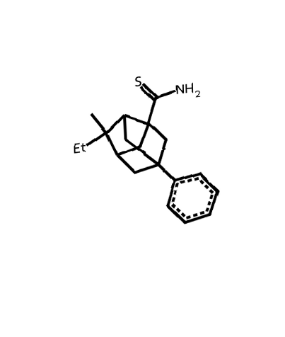 CCC1(C)C2CC3(c4ccccc4)CC1C(C(N)=S)(C2)C3